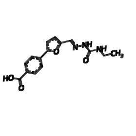 CCNC(=O)NN=Cc1ccc(-c2ccc(C(=O)O)cc2)o1